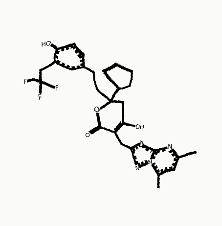 Cc1cc(C)n2nc(CC3=C(O)CC(CCc4ccc(O)c(CC(F)(F)F)c4)(C4CCCC4)OC3=O)nc2n1